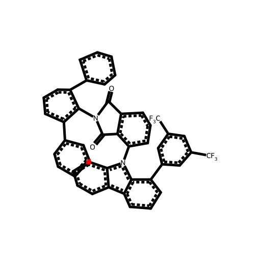 O=C1c2cccc(-n3c4ccccc4c4cccc(-c5cc(C(F)(F)F)cc(C(F)(F)F)c5)c43)c2C(=O)N1c1c(-c2ccccc2)cccc1-c1ccccc1